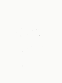 CC(=O)C1(N)c2c(cccc2N2CCCCC2)C(c2ccccc2)CN1C